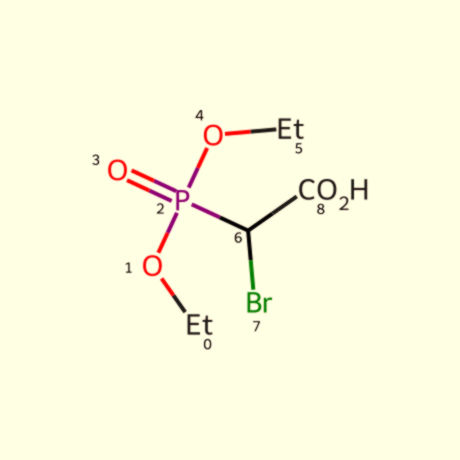 CCOP(=O)(OCC)C(Br)C(=O)O